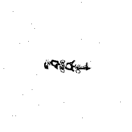 C=CC(=O)NC1C(C)CN(S(=O)(=O)c2ccc(-n3cccn3)cc2)CC1C